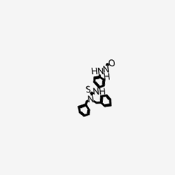 O=CNNc1ccc(NC(=S)N(Cc2ccccc2)Cc2ccccc2)cc1